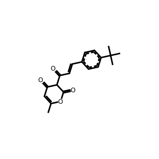 CC1=CC(=O)C(C(=O)C=Cc2ccc(C(C)(C)C)cc2)C(=O)O1